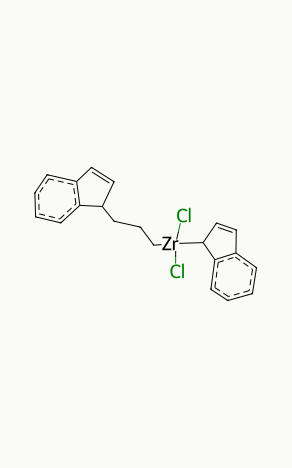 [Cl][Zr]([Cl])([CH2]CCC1C=Cc2ccccc21)[CH]1C=Cc2ccccc21